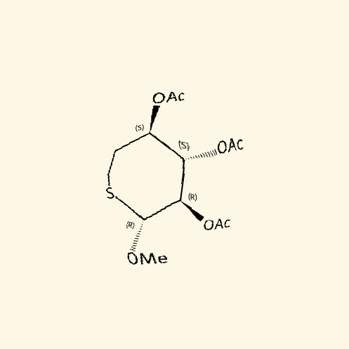 CO[C@@H]1SC[C@@H](OC(C)=O)[C@H](OC(C)=O)[C@H]1OC(C)=O